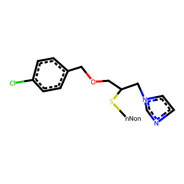 CCCCCCCCCSC(COCc1ccc(Cl)cc1)Cn1ccnc1